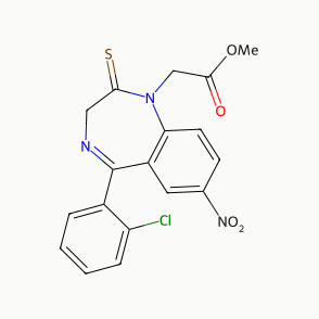 COC(=O)CN1C(=S)CN=C(c2ccccc2Cl)c2cc([N+](=O)[O-])ccc21